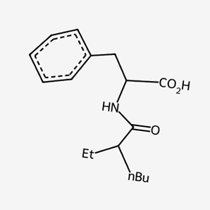 CCCCC(CC)C(=O)NC(Cc1ccccc1)C(=O)O